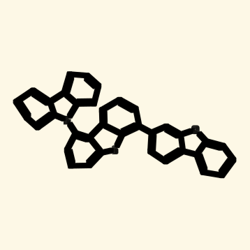 c1ccc2c(c1)oc1cc(-c3cccc4c3sc3cccc(-n5c6ccccc6c6ccccc65)c34)ccc12